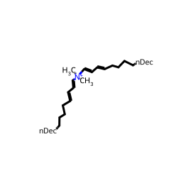 CCCCCCCCCCCCCCC=CC=C[N+](C)(C)C=CC=CCCCCCCCCCCCCCC